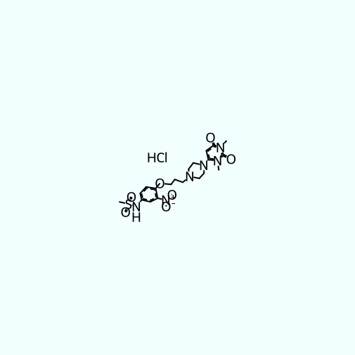 Cl.Cn1c(N2CCN(CCCOc3ccc(NS(C)(=O)=O)cc3[N+](=O)[O-])CC2)cc(=O)n(C)c1=O